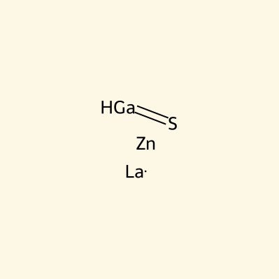 [La].[S]=[GaH].[Zn]